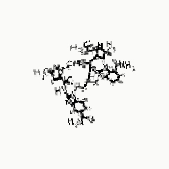 CCn1nc(C)cc1C(=O)Nc1nc2cc(C(N)=O)ccc2n1CCCCn1c(NC(=O)c2cc(C)nn2CC)nc2c(CN)cccc21